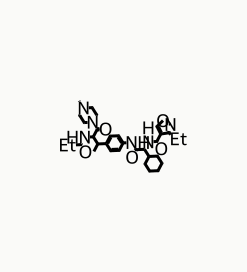 CCC(=O)NC(C(=O)N1CCN(C)CC1)C(C)c1ccc(NC(=O)C(NC(=O)c2conc2CC)C2CCCCC2)cc1